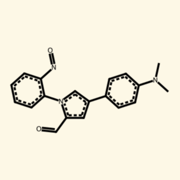 CN(C)c1ccc(-c2cc(C=O)n(-c3ccccc3N=O)c2)cc1